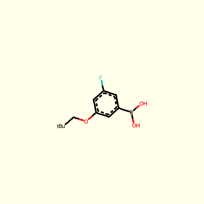 CC(C)(C)COc1cc(F)cc(B(O)O)c1